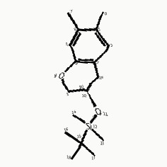 Cc1cc2c(cc1C)OC[C@H](O[Si](C)(C)C(C)(C)C)C2